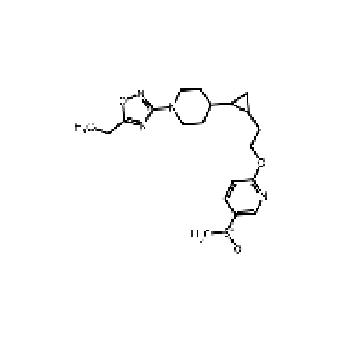 CCc1nc(N2CCC(C3CC3CCOc3ccc([S+](C)[O-])cn3)CC2)no1